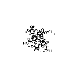 CCOC(=O)C1(CSCC(NC(=O)CCC(C)C(=O)O)C(=O)NCC(=O)O)OC(=O)C(O)=C1SCC(NC(=O)CCC(C)C(=O)O)C(=O)NCC(=O)O